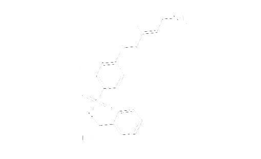 C[C@H](NS(=O)(=O)c1ccc(OCC(F)=CCN)cc1)c1ccccc1.Cl